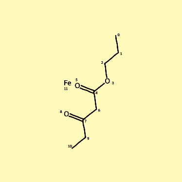 CCCOC(=O)CC(=O)CC.[Fe]